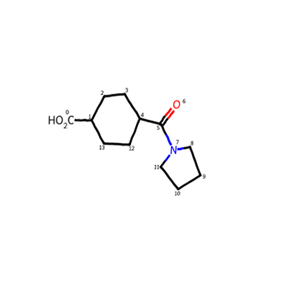 O=C(O)C1CCC(C(=O)N2CCCC2)CC1